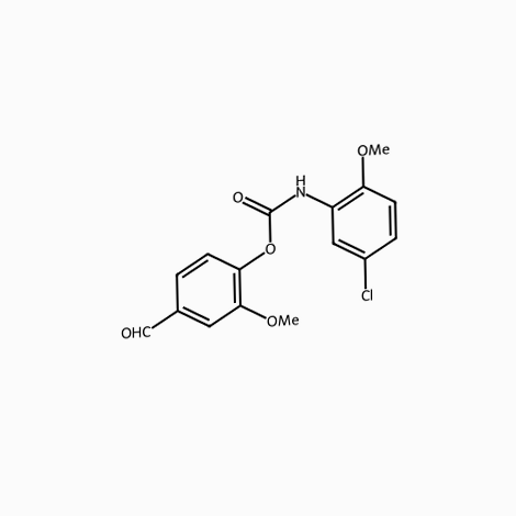 COc1ccc(Cl)cc1NC(=O)Oc1ccc(C=O)cc1OC